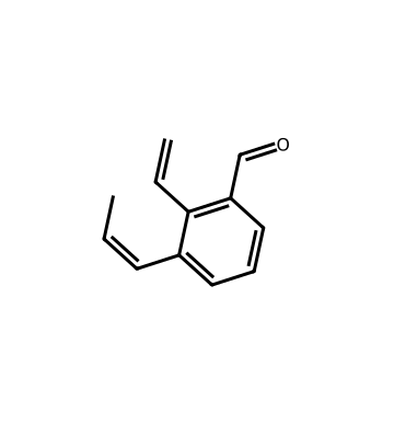 C=Cc1c(C=O)cccc1/C=C\C